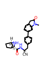 CN1C(=O)Cc2ccc(-c3ccc(C[C@@H](C#N)NC(=O)[C@H]4N[C@@H]5CCC4C5)cc3)cc21